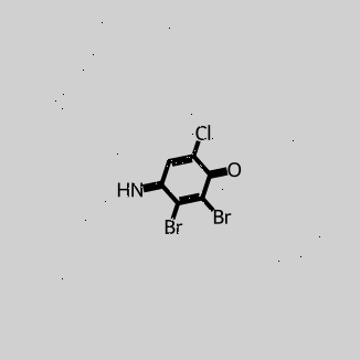 N=C1C=C(Cl)C(=O)C(Br)=C1Br